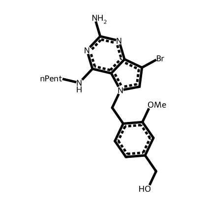 CCCCCNc1nc(N)nc2c(Br)cn(Cc3ccc(CO)cc3OC)c12